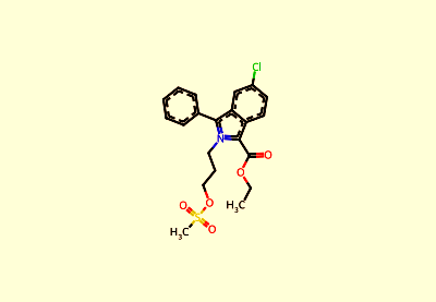 CCOC(=O)c1c2ccc(Cl)cc2c(-c2ccccc2)n1CCCOS(C)(=O)=O